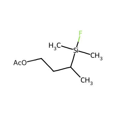 CC(=O)OCCC(C)[Si](C)(C)F